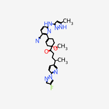 COC1(C(=O)CC[C@@H](C)c2ccc(-n3cc(F)cn3)nc2)CC=C(c2nc(Nc3cc(C)[nH]n3)ccc2C#N)CC1